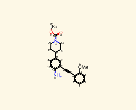 COc1ccccc1C#Cc1cc(C2CCN(C(=O)OC(C)(C)C)CC2)ccc1N